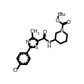 Cc1nc(-c2ccc(Cl)cc2)sc1C(=O)NC1CCCN(C(=O)OC(C)(C)C)C1